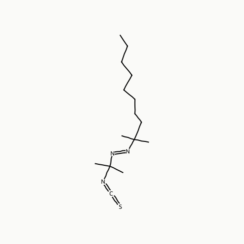 CCCCCCCCC(C)(C)/N=N/C(C)(C)N=C=S